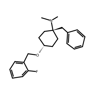 CN(C)[C@]1(Cc2ccccc2)CC[C@H](OCc2ccccc2F)CC1